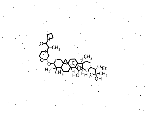 CCO[C@@H]([C@H]1C[C@@H](C)[C@H]2[C@H](O1)[C@H](O)[C@@]1(C)[C@@H]3CC[C@H]4C(C)(C)[C@@H](O[C@H]5CN([C@@H](C)C(=O)N6CCC6)CCO5)CCC45C[C@@]35CC[C@]21C)C(C)(C)O